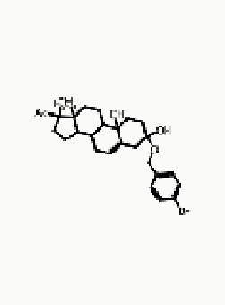 CC(=O)C1(C)CCC2C3CC=C4CC(O)(OCc5ccc(Br)cc5)CCC4(C)C3CCC21C